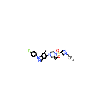 Cc1cc2c(cnn2-c2ccc(F)cc2)cc1N1CCN(S(=O)(=O)c2cnn(CC(F)(F)F)c2)C2(CC2)C1